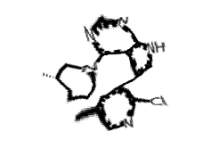 Cc1cnc(Cl)c(-c2c[nH]c3ncnc(N4CCC[C@H](C)C4)c23)c1